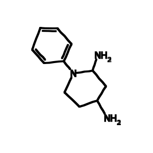 NC1CCN(c2ccccc2)C(N)C1